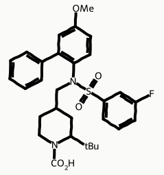 COc1ccc(N(CC2CCN(C(=O)O)C(C(C)(C)C)C2)S(=O)(=O)c2cccc(F)c2)c(-c2ccccc2)c1